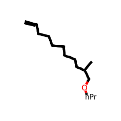 C=CCCCCCCCC(C)COCCC